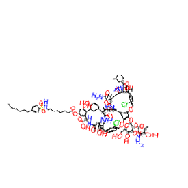 CCCCCCc1ccc(S(=O)(=O)NCCCCCCCC(=O)Oc2cc(O)c3c(c2)[C@@H](C(=O)O)NC(=O)[C@H]2NC(=O)[C@H](CC(=O)[C@@H]4NC(=O)[C@H](CC(N)=O)CC(=O)[C@H](NC(=O)[C@H](CC)CC(C)C)[C@H](O)c5ccc(c(Cl)c5)Oc5cc4cc(c5O[C@@H]4O[C@H](CO)[C@@H](O)[C@H](O)[C@H]4O[C@H]4C[C@](C)(N)[C@H](O)[C@H](C)O4)Oc4ccc(cc4Cl)[C@H]2O)c2ccc(O)c-3c2)cc1